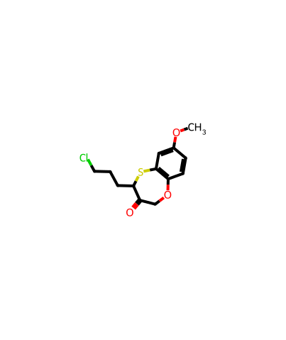 COc1ccc2c(c1)SC(CCCCl)C(=O)CO2